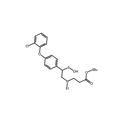 CCN(CCC(=O)OC(C)(C)C)CC(SO)c1ccc(Oc2ccccc2Cl)cc1